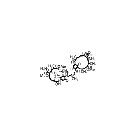 COC1/C=C\C=C(/C)C(=O)NC2=CC(=O)C(NCCN(C)CCNC3=C4CC(C)CC(OC)C(O)C(C)/C=C(\C)C(C(=O)ON)C(OC)/C=C\C=C(/C)C(=O)NC(=CC3=O)C4=O)=C(CC(C)CC(OC)C(O)C(C)/C=C(\C)C1OC(N)=O)C2=O